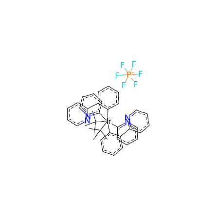 C[C](C)(C)[Ir]([c]1ccccn1)([c]1ccccn1)([c]1ccccc1-c1ccccn1)([c]1ccccc1-c1ccccn1)[C](C)(C)C.F[P-](F)(F)(F)(F)F